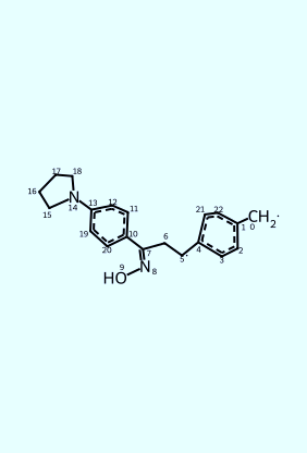 [CH2]c1ccc([CH]CC(=NO)c2ccc(N3CCCC3)cc2)cc1